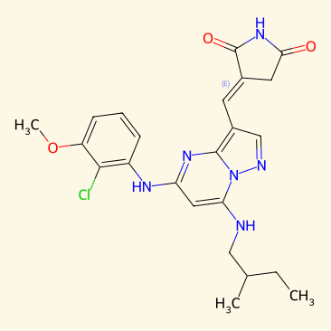 CCC(C)CNc1cc(Nc2cccc(OC)c2Cl)nc2c(/C=C3\CC(=O)NC3=O)cnn12